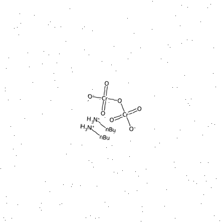 CCCC[NH3+].CCCC[NH3+].[O]=[Cr](=[O])([O-])[O][Cr](=[O])(=[O])[O-]